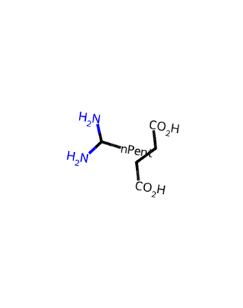 CCCCCC(N)N.O=C(O)CCC(=O)O